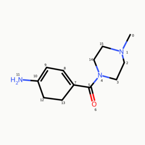 CN1CCN(C(=O)C2=CC=C(N)CC2)CC1